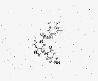 C=C(F)/C=C(\C=C(\F)CF)NC(=O)N1Cc2c(N3CC4(CNC4)CC3=O)cnn2C[C@@H]1C